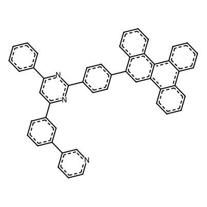 c1ccc(-c2cc(-c3cccc(-c4cccnc4)c3)nc(-c3ccc(-c4cc5c6ccccc6c6ccccc6c5c5ccccc45)cc3)n2)cc1